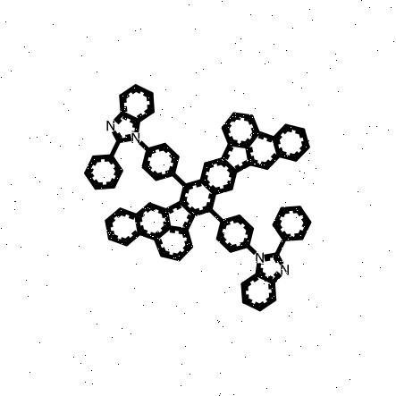 c1ccc(-c2nc3ccccc3n2-c2ccc(-c3c4cc5c(cc4c(-c4ccc(-n6c(-c7ccccc7)nc7ccccc76)cc4)c4c6cc7ccccc7c7cccc(c34)c76)c3cccc4c6ccccc6cc5c43)cc2)cc1